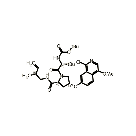 C=C[C@H](C)CNC(=O)[C@@H]1C[C@@H](Oc2ccc3c(OC)cnc(Cl)c3c2)CN1C(=O)[C@@H](NC(=O)OC(C)(C)C)C(C)(C)C